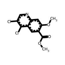 COC(=O)c1cc2c(Cl)c(Cl)cnc2cc1OC